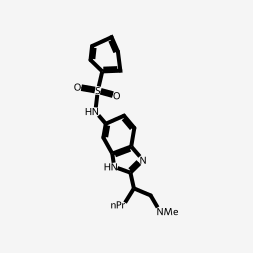 CCCC(CNC)c1nc2ccc(NS(=O)(=O)c3ccccc3)cc2[nH]1